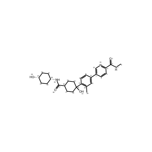 CNC(=O)c1ccc(-c2ccc(C3(O)CCC(C(=O)N[C@H]4CC[C@@H](O)CC4)CC3)c(C)c2)cn1